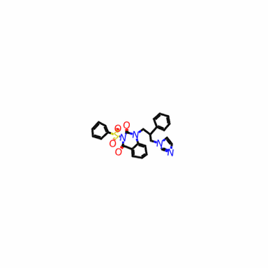 O=c1c2ccccc2n(CC(Cn2ccnc2)c2ccccc2)c(=O)n1S(=O)(=O)c1ccccc1